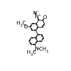 COc1cc2c(c(-c3cccc4c(N(C)C)cccc34)c1)[C]=CC(=O)C2=[N+]=[N-]